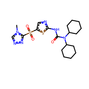 Cn1cnnc1S(=O)(=O)c1cnc(NC(=O)N(C2CCCCC2)C2CCCCC2)s1